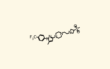 Cc1cc(N2CCN(CCN3CC(S(C)(=O)=O)C3)CC2)nn1-c1ccc(C(F)(F)F)cc1